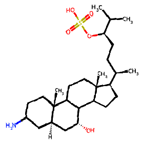 CC(C)[C@@H](CC[C@@H](C)[C@H]1CCC2C3C(CC[C@@]21C)[C@@]1(C)CCC(N)C[C@@H]1C[C@H]3O)OS(=O)(=O)O